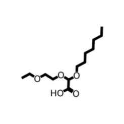 CCCCCCCOC(OCCOCC)C(=O)O